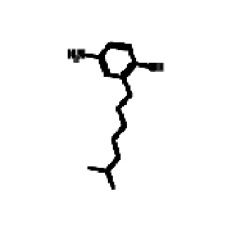 CC(C)CCCCCc1cc(N)ccc1O